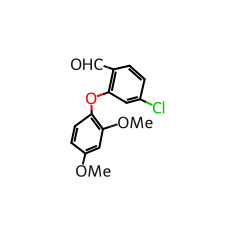 COc1ccc(Oc2cc(Cl)ccc2C=O)c(OC)c1